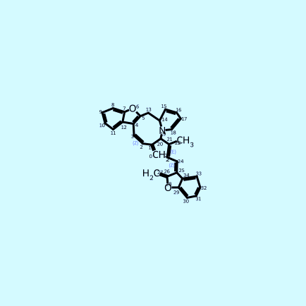 C=C1/C=C\c2c(oc3ccccc23)CC2C=CC=CN2C1/C(C)=C/C=c1\c(=C)oc2ccccc12